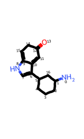 NC1CCCC(c2c[nH]c3c2=CC(=O)CC=3)C1